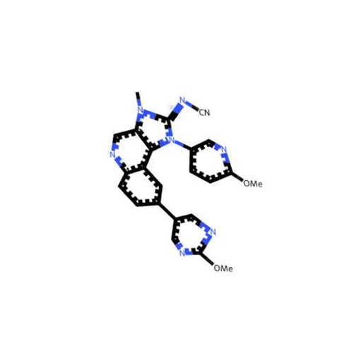 COc1ccc(-n2/c(=N\C#N)n(C)c3cnc4ccc(-c5cnc(OC)nc5)cc4c32)cn1